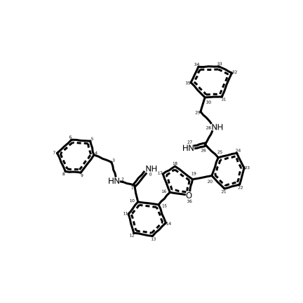 N=C(NCc1ccccc1)c1ccccc1-c1ccc(-c2ccccc2C(=N)NCc2ccccc2)o1